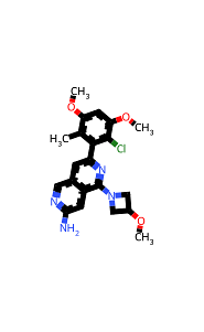 COc1cc(OC)c(Cl)c(-c2cc3cnc(N)cc3c(N3CC(OC)C3)n2)c1C